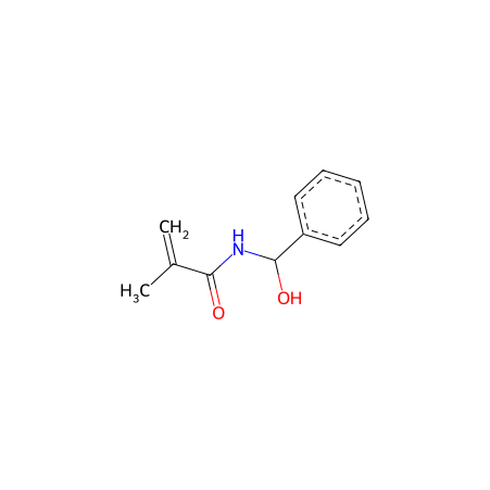 C=C(C)C(=O)NC(O)c1ccccc1